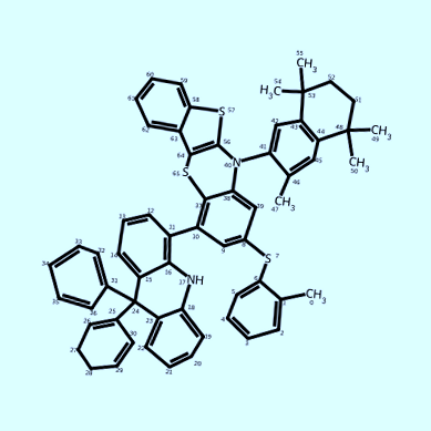 Cc1ccccc1Sc1cc(-c2cccc3c2Nc2ccccc2C3(C2=CCCC=C2)c2ccccc2)c2c(c1)N(c1cc3c(cc1C)C(C)(C)CCC3(C)C)c1sc3ccccc3c1S2